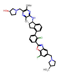 COc1nc(N[C@@H]2CCc3c(-c4cccc(-c5nc6cc(CN7CC[C@@H](C(=O)O)C7)cc(F)c6o5)c4Cl)cccc32)c(C(F)(F)F)nc1CN1CC[C@@H](O)C1